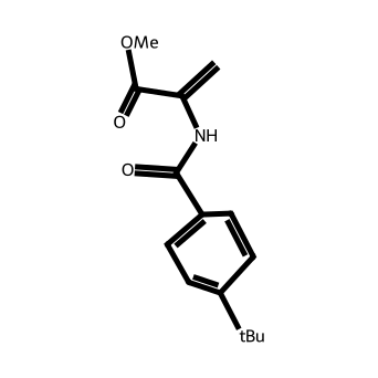 C=C(NC(=O)c1ccc(C(C)(C)C)cc1)C(=O)OC